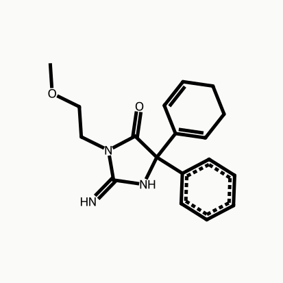 COCCN1C(=N)NC(C2=CCCC=C2)(c2ccccc2)C1=O